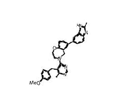 COc1ccc(Cc2c(C)ncnc2N2CCOc3ccc(-c4ccc5nc(C)[nH]c5c4)cc3C2)cc1